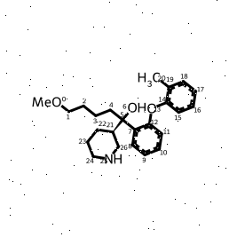 COCCCCC(O)(c1ccccc1Oc1ccccc1C)[C@@H]1CCCNC1